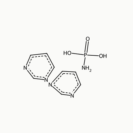 NP(=O)(O)O.c1cncnc1.c1cncnc1